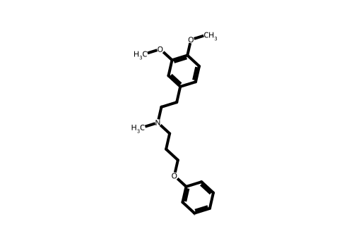 COc1ccc(CCN(C)CCCOc2c[c]ccc2)cc1OC